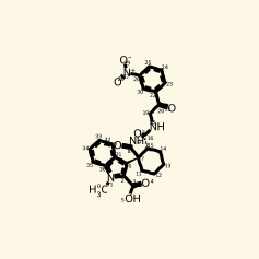 Cn1c(C(=O)O)c([C@]2(C(N)=O)CCCC[C@H]2C(=O)NCC(=O)c2cccc([N+](=O)[O-])c2)c2ccccc21